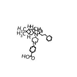 C[C@H]1[C@@H](N(C(=O)CCc2ccccc2)C2CCN(c3ccc(C(=O)O)cc3)CC2)C[C@@H]2C[C@@H]1C2(C)C